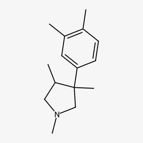 Cc1ccc(C2(C)CN(C)CC2C)cc1C